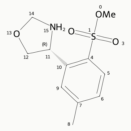 COS(=O)(=O)c1ccc(C)cc1[C@@H]1COCN1